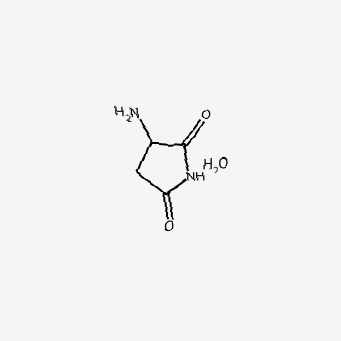 NC1CC(=O)NC1=O.O